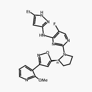 CCc1cc(Nc2nc(N3CCC[C@H]3c3cc(-c4cccnc4OC)no3)ncc2F)n[nH]1